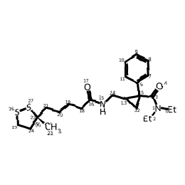 CCN(CC)C(=O)C1(c2ccccc2)CC1CNC(=O)CCCC[C@]1(C)CCSS1